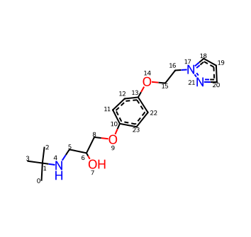 CC(C)(C)NCC(O)COc1ccc(OCCn2cccn2)cc1